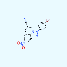 N#CC1=Cc2cc([N+](=O)[O-])ccc2N(Nc2ccc(Br)cc2)C1